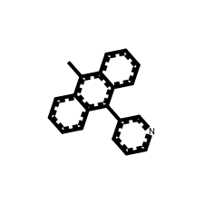 Cc1c2ccccc2c(-c2cccnc2)c2ccccc12